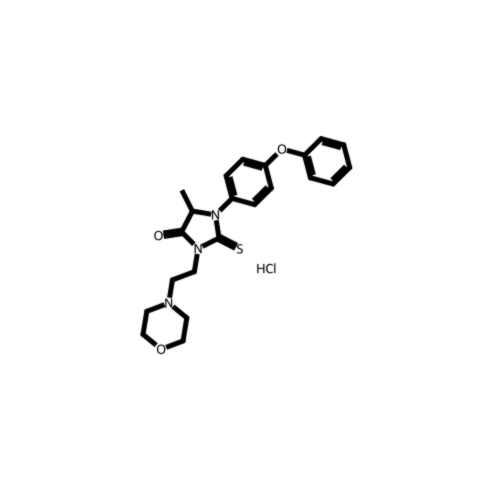 CC1C(=O)N(CCN2CCOCC2)C(=S)N1c1ccc(Oc2ccccc2)cc1.Cl